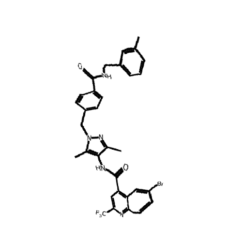 Cc1cccc(CNC(=O)c2ccc(Cn3nc(C)c(NC(=O)c4cc(C(F)(F)F)nc5ccc(Br)cc45)c3C)cc2)c1